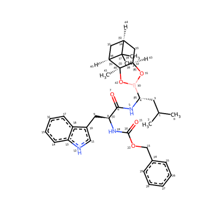 CC(C)C[C@H](NC(=O)[C@H](Cc1c[nH]c2ccccc12)NC(=O)OCc1ccccc1)B1O[C@@H]2C[C@@H]3C[C@@H](C3(C)C)[C@]2(C)O1